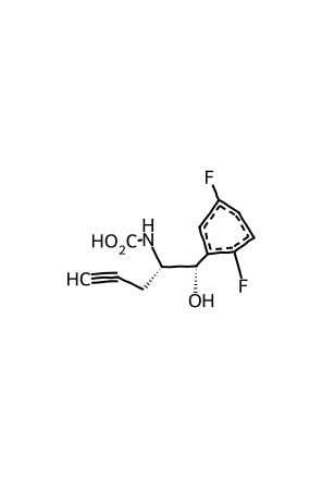 C#CC[C@H](NC(=O)O)[C@@H](O)c1cc(F)ccc1F